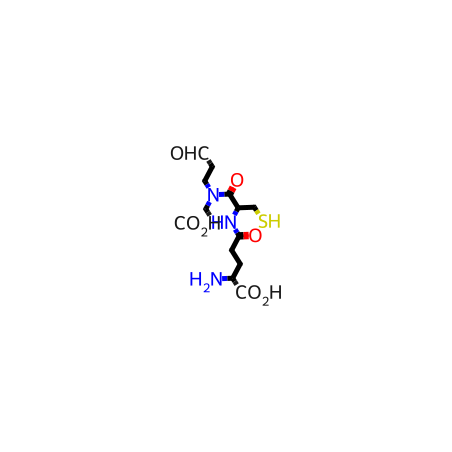 NC(CCC(=O)NC(CS)C(=O)N(CCC=O)CC(=O)O)C(=O)O